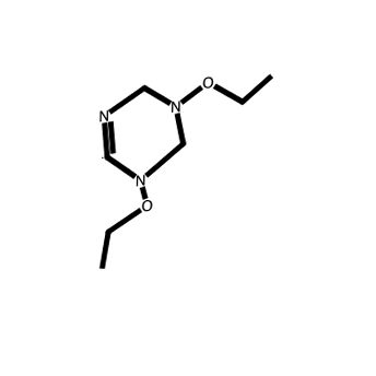 CCON1[C]=NCN(OCC)C1